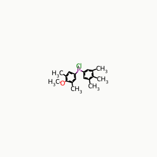 COc1c(C)cc(P(Cl)c2cc(C)c(C)c(C)c2)cc1C